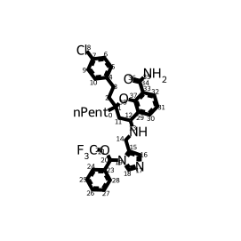 CCCCCC1(CCc2ccc(Cl)cc2)CC(NCc2cncn2C(OC(F)(F)F)c2ccccc2)c2cccc(C(N)=O)c2O1